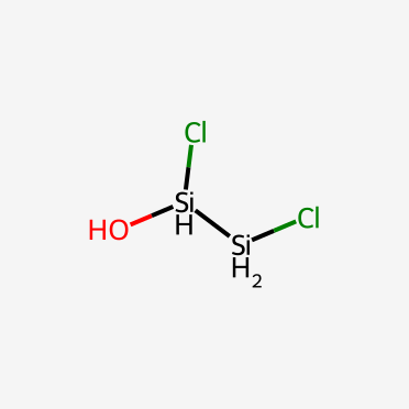 O[SiH](Cl)[SiH2]Cl